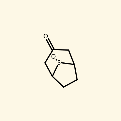 O=C1CC2CCC(C1)[S+]2[O-]